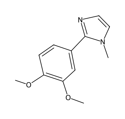 COc1ccc(-c2nccn2C)cc1OC